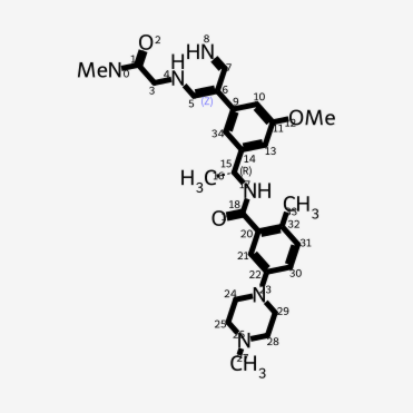 CNC(=O)CN/C=C(\C=N)c1cc(OC)cc([C@@H](C)NC(=O)c2cc(N3CCN(C)CC3)ccc2C)c1